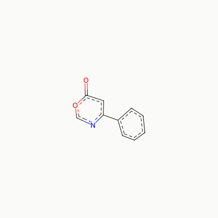 O=c1cc(-c2ccccc2)nco1